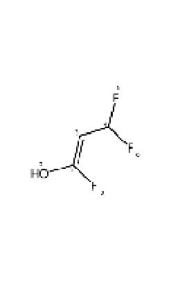 OC(F)=CC(F)F